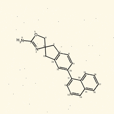 NC1=NC2(CO1)Cc1ccc(-c3cncc4ccccc34)cc1C2